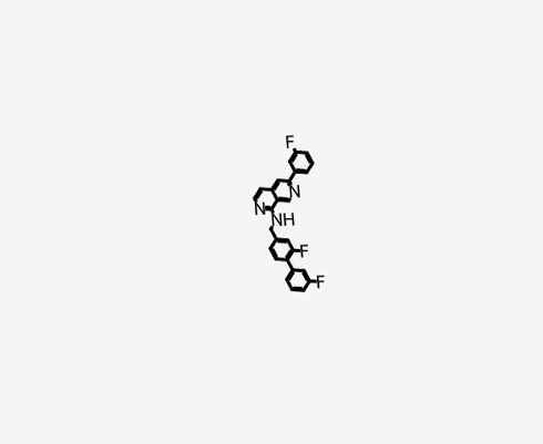 Fc1cccc(-c2cc3ccnc(NCc4ccc(-c5cccc(F)c5)c(F)c4)c3cn2)c1